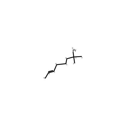 [CH2]C(C)C(C)(C)CCC/C=C/C